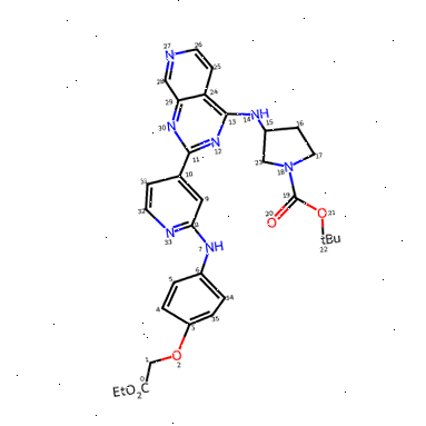 CCOC(=O)COc1ccc(Nc2cc(-c3nc(NC4CCN(C(=O)OC(C)(C)C)C4)c4ccncc4n3)ccn2)cc1